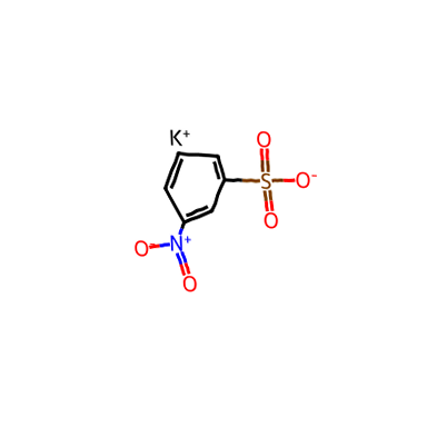 O=[N+]([O-])c1cccc(S(=O)(=O)[O-])c1.[K+]